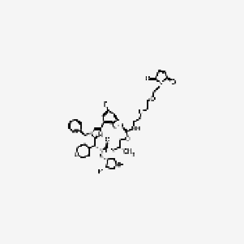 C[C@@H](COC(=O)NCCOCCOCCN1C(=O)C=CC1=O)NC(=O)N(C[C@@H]1CNC[C@@H]1F)[C@@H](c1nc(-c2cc(F)ccc2F)cn1Cc1ccccc1)C1CCOCC1